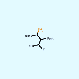 CCCCCCC(P)C(CCCCC)C(CCC)CCCC